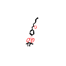 CCCCC(=O)Cc1ccc(B2OC(C)(C)C(C)(C)O2)cc1